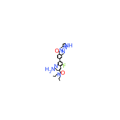 CCCN(CCC)C(=O)C1=Cc2c(F)cc(-c3ccc4c(=O)n(Cc5cc[nH]n5)ncc4c3)cc2N=C(N)C1